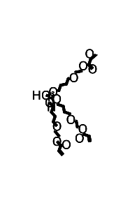 C=CC(=O)OCCOCCCCO[PH](O)(OCCCCOCCOC(=O)C=C)OCCCCOCCOC(=O)C1CO1